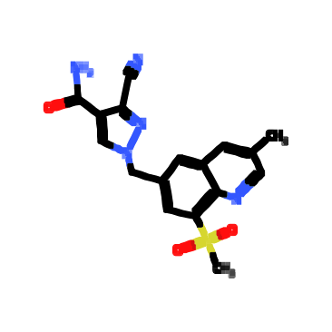 Cc1cnc2c(S(C)(=O)=O)cc(Cn3cc(C(N)=O)c(C#N)n3)cc2c1